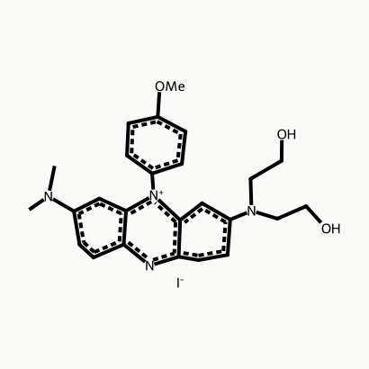 COc1ccc(-[n+]2c3cc(N(C)C)ccc3nc3ccc(N(CCO)CCO)cc32)cc1.[I-]